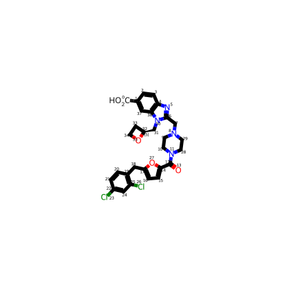 O=C(O)c1ccc2nc(CN3CCN(C(=O)c4ccc(Cc5ccc(Cl)cc5Cl)o4)CC3)n(C[C@@H]3CCO3)c2c1